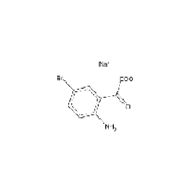 Nc1ccc(Br)cc1C(=O)C(=O)[O-].[Na+]